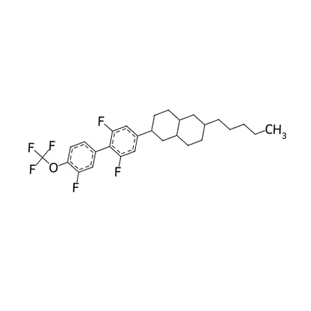 CCCCCC1CCC2CC(c3cc(F)c(-c4ccc(OC(F)(F)F)c(F)c4)c(F)c3)CCC2C1